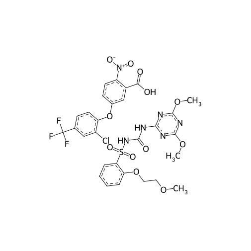 COCCOc1ccccc1S(=O)(=O)NC(=O)Nc1nc(OC)nc(OC)n1.O=C(O)c1cc(Oc2ccc(C(F)(F)F)cc2Cl)ccc1[N+](=O)[O-]